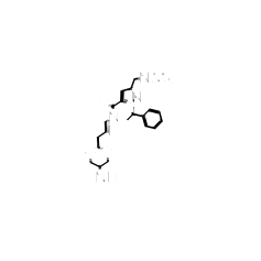 CNCc1cc(C(=O)NCCCC2OCC(N)CO2)n(C(C)c2ccccc2)n1